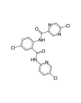 O=C(Nc1ccc(Cl)cc1C(=O)Nc1ccc(Cl)cn1)c1cnc(Cl)cn1